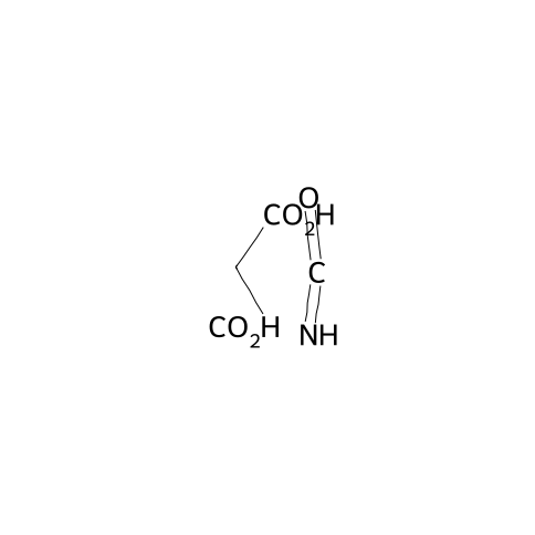 N=C=O.O=C(O)CC(=O)O